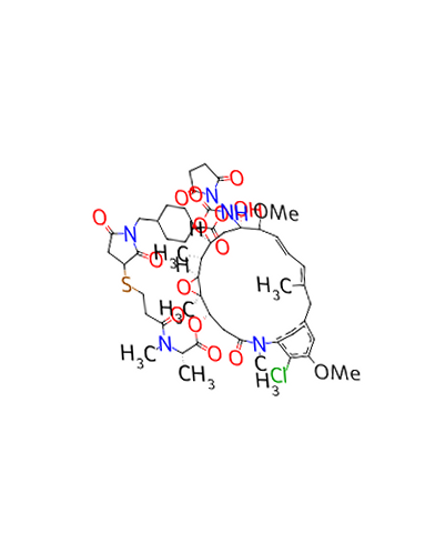 COc1cc2cc(c1Cl)N(C)C(=O)C[C@H](OC(=O)[C@H](C)N(C)C(=O)CCSC1CC(=O)N(CC3CCC(C(=O)ON4C(=O)CCC4=O)CC3)C1=O)[C@@]1(C)O[C@H]1[C@H](C)[C@@H]1C[C@@](O)(NC(=O)O1)C(OC)/C=C/C=C(\C)C2